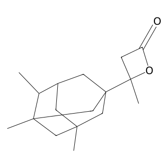 CC1C2CC3(C)CC1(C)CC(C1(C)CC(=O)O1)(C2)C3